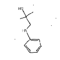 CC(C)(O)CNc1ccccc1